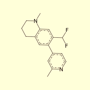 Cc1cc(-c2cc3c(cc2C(F)F)N(C)CCC3)ccn1